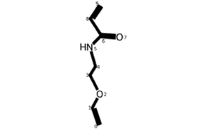 C=COCCNC(=O)C=C